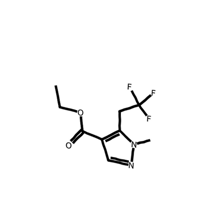 CCOC(=O)c1cnn(C)c1CC(F)(F)F